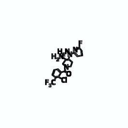 NC1=C(N(N)c2cccc(F)n2)CCN(C(=O)c2cccc(C(F)(F)F)c2Cl)C1